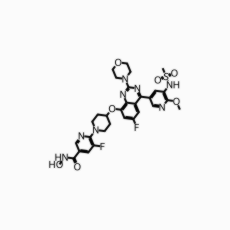 COc1ncc(-c2nc(N3CCOCC3)nc3c(OC4CCN(c5ncc(C(=O)NO)cc5F)CC4)cc(F)cc23)cc1NS(C)(=O)=O